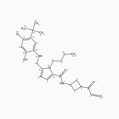 C=CC(=O)N1CC(NC(=O)c2cnc(CNc3cc(C(C)(C)C)c(Cl)cc3O)n2CCOC)C1